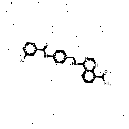 NC(=O)c1cccc2c(NCc3ccc(NC(=O)c4cccc(C(F)(F)F)c4)cc3)ncnc12